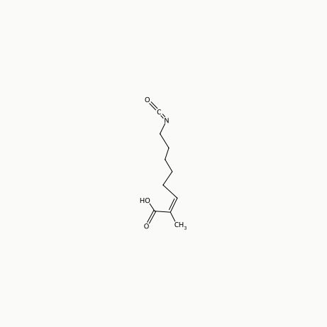 CC(=CCCCCCN=C=O)C(=O)O